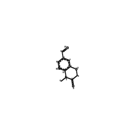 CN1C(=O)COc2cc(C=O)cnc21